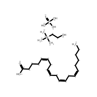 CCCCC/C=C\C/C=C\C/C=C\C/C=C\CCCC(=O)O.C[N+](C)(C)CCO.OP(O)(O)=S